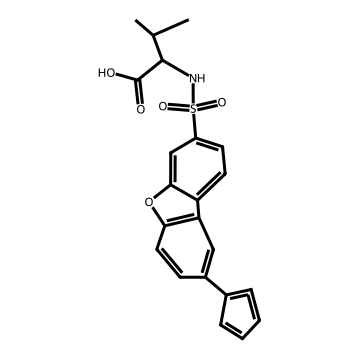 CC(C)C(NS(=O)(=O)c1ccc2c(c1)oc1ccc(C3=C=CC=C3)cc12)C(=O)O